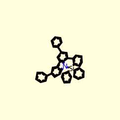 c1ccc(-c2ccc3c(c2)c2cc(-c4ccccc4)cc4c2n3[Si](c2ccccc2)(c2ccccc2)c2ccccc2-4)cc1